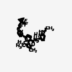 CCCNc1cccc(SNC(=O)c2ccc(-n3ccc(OCCC4(C(F)(F)F)CC4)n3)nc2N2C[C@H](C)CC2(C)C)n1